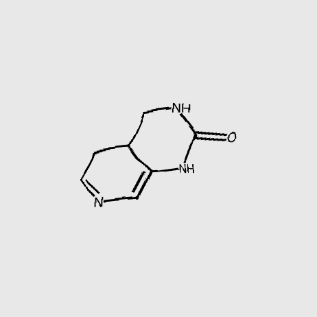 O=C1NCC2CC=NC=C2N1